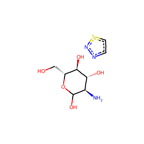 N[C@H]1C(O)O[C@H](CO)[C@@H](O)[C@@H]1O.c1csnn1